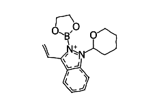 C=Cc1c2ccccc2n(C2CCCCO2)[n+]1B1OCCO1